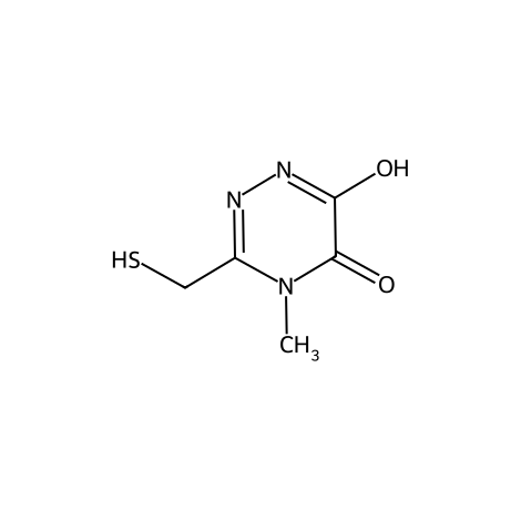 Cn1c(CS)nnc(O)c1=O